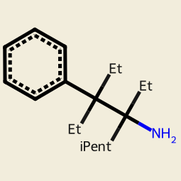 CCCC(C)C(N)(CC)C(CC)(CC)c1ccccc1